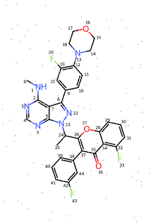 CNc1ncnc2c1c(-c1ccc(N3CCOCC3)c(F)c1)nn2C(C)c1oc2cccc(F)c2c(=O)c1-c1cccc(F)c1